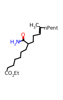 CCCCCC(C)=CCCC(CCCCCCC(=O)OCC)C(N)=O